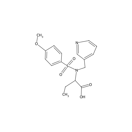 CCC(C(=O)O)N(Cc1cccnc1)S(=O)(=O)c1ccc(OC)cc1